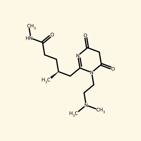 CNC(=O)CC[C@H](C)CC1=NC(=O)CC(=O)N1CCN(C)C